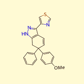 COc1ccc(C2(c3ccccc3)C=Cc3c(-c4cscn4)n[nH]c3C2)cc1